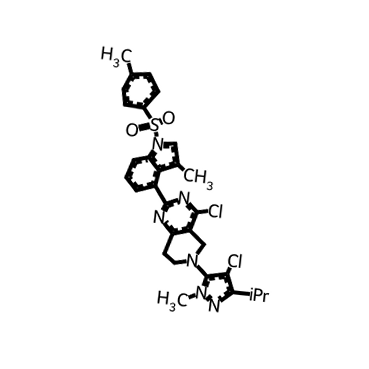 Cc1ccc(S(=O)(=O)n2cc(C)c3c(-c4nc(Cl)c5c(n4)CCN(c4c(Cl)c(C(C)C)nn4C)C5)cccc32)cc1